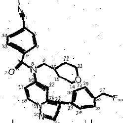 N#Cc1ccc(C(=O)N(CC2CCOCC2)c2ccn3ncc(-c4ccc(CF)cc4)c3c2)cc1